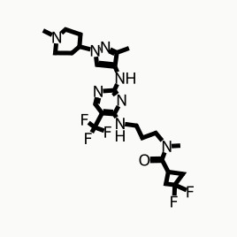 Cc1nn(C2CCN(C)CC2)cc1Nc1ncc(C(F)(F)F)c(NCCCN(C)C(=O)C2CC(F)(F)C2)n1